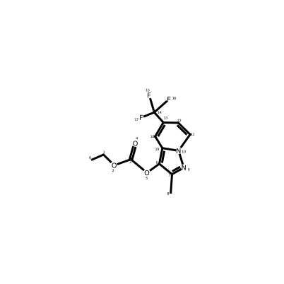 CCOC(=O)Oc1c(C)nn2ccc(C(F)(F)F)cc12